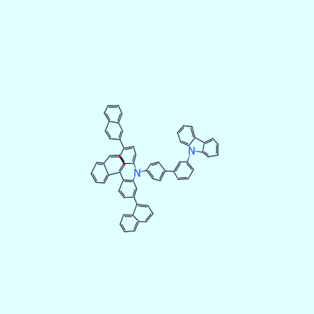 c1cc(-c2ccc(N(c3ccc(-c4ccc5ccccc5c4)cc3)c3cc(-c4cccc5ccccc45)ccc3-c3cccc4ccccc34)cc2)cc(-n2c3ccccc3c3ccccc32)c1